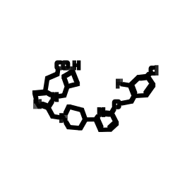 O=C(O)CCc1cnc(CN2CCC(c3cccc(OCc4ccc(Cl)cc4F)n3)CC2)n1CC1CCC1